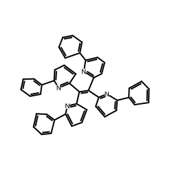 c1ccc(-c2cccc(C(=C(c3cccc(-c4ccccc4)n3)c3cccc(-c4ccccc4)n3)c3cccc(-c4ccccc4)n3)n2)cc1